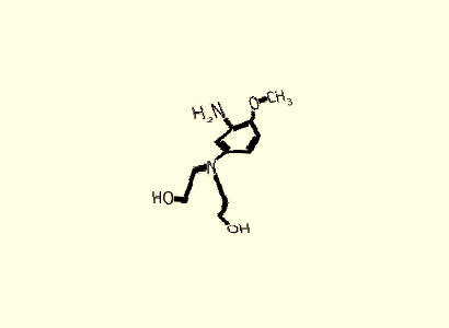 COc1ccc(N(CCO)CCO)cc1N